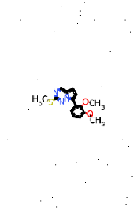 COc1cccc(-c2ccc3cnc(SC)nn23)c1OC